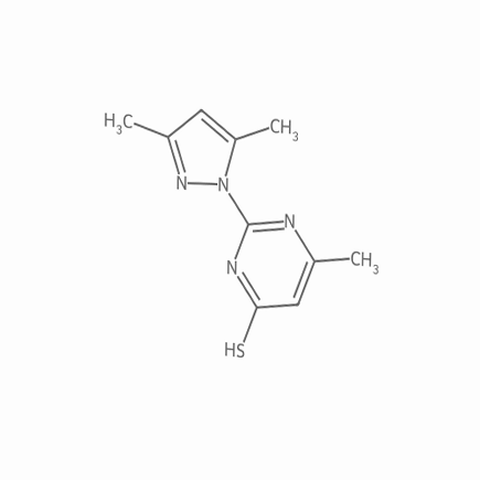 Cc1cc(S)nc(-n2nc(C)cc2C)n1